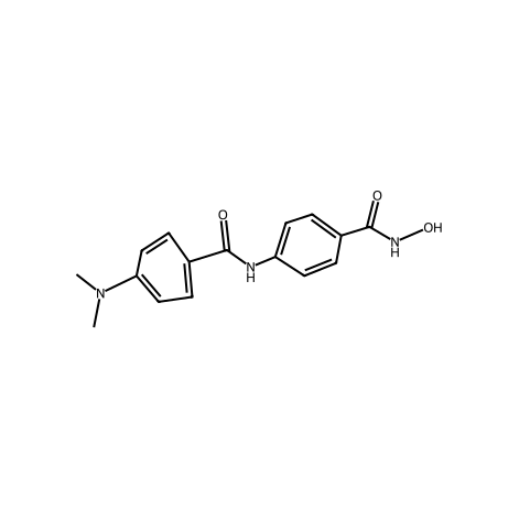 CN(C)c1ccc(C(=O)Nc2ccc(C(=O)NO)cc2)cc1